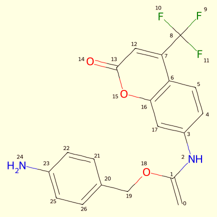 C=C(Nc1ccc2c(C(F)(F)F)cc(=O)oc2c1)OCc1ccc(N)cc1